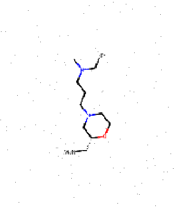 CNC[C@@H]1CN(CCCN(C)CC(C)C)CCO1